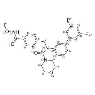 O=C(NOI)c1ccc(CN(C(=O)N2CCOCC2)c2cccc(-c3cc(F)cc(I)c3)c2)cc1